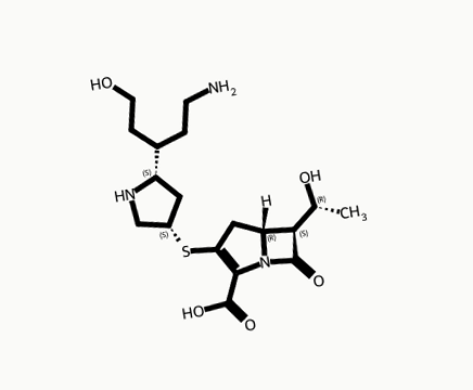 C[C@@H](O)[C@H]1C(=O)N2C(C(=O)O)=C(S[C@@H]3CN[C@H](C(CCN)CCO)C3)C[C@H]12